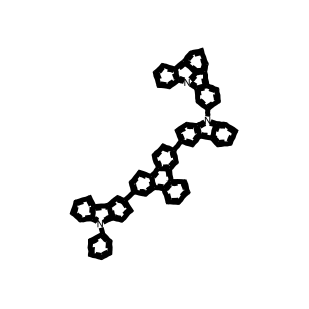 c1ccc(-n2c3ccccc3c3cc(-c4ccc5c6ccc(-c7ccc8c(c7)c7ccccc7n8-c7ccc8c9cccc%10c%11ccccc%11n(c8c7)c%109)cc6c6ccccc6c5c4)ccc32)cc1